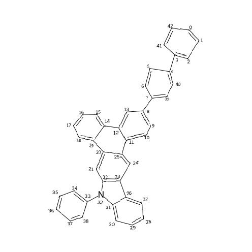 c1ccc(-c2ccc(-c3ccc4c(c3)c3ccccc3c3cc5c(cc43)c3ccccc3n5-c3ccccc3)cc2)cc1